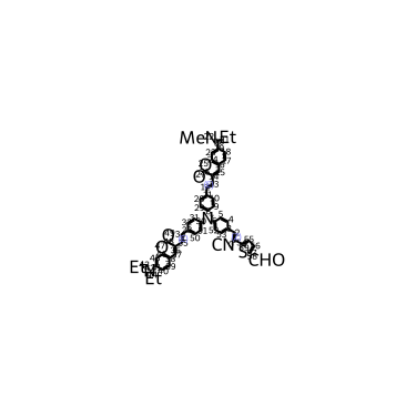 [C-]#[N+]/C(=C\c1ccc(N(c2ccc(/C=C/c3cc4ccc(C(CC)NC)cc4oc3=O)cc2)c2ccc(/C=C/c3cc4ccc(N(CC)CC)cc4oc3=O)cc2)cc1)c1ccc(C=O)s1